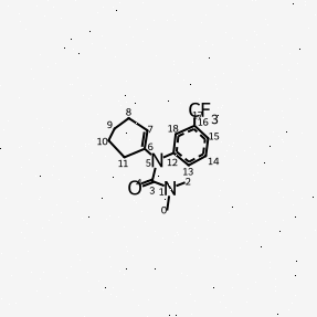 CN(C)C(=O)N(C1=CCCCC1)c1cccc(C(F)(F)F)c1